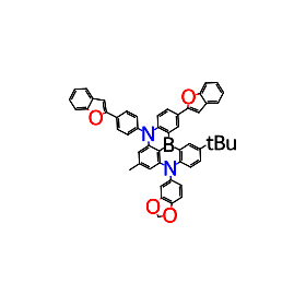 Cc1cc2c3c(c1)N(c1ccc4c(c1)OCO4)c1ccc(C(C)(C)C)cc1B3c1cc(-c3cc4ccccc4o3)ccc1N2c1ccc(-c2cc3ccccc3o2)cc1